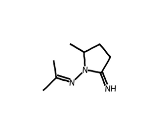 CC(C)=NN1C(=N)CCC1C